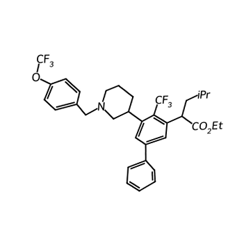 CCOC(=O)C(CC(C)C)c1cc(-c2ccccc2)cc(C2CCCN(Cc3ccc(OC(F)(F)F)cc3)C2)c1C(F)(F)F